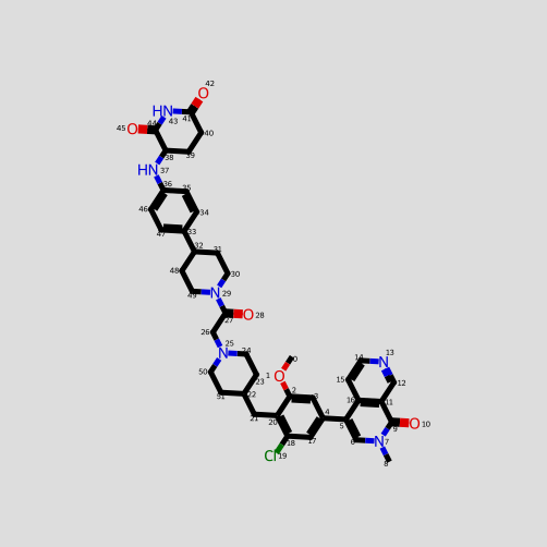 COc1cc(-c2cn(C)c(=O)c3cnccc23)cc(Cl)c1CC1CCN(CC(=O)N2CCC(c3ccc(NC4CCC(=O)NC4=O)cc3)CC2)CC1